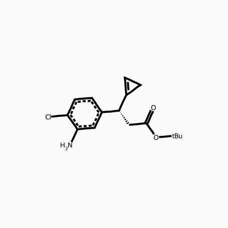 CC(C)(C)OC(=O)C[C@@H](C1=CC1)c1ccc(Cl)c(N)c1